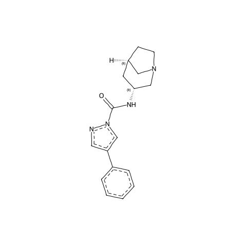 O=C(N[C@@H]1C[C@H]2CCN(C2)C1)n1cc(-c2ccccc2)cn1